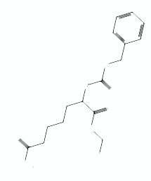 C=C(C)CCCCC(NC(=O)OCc1ccccc1)C(=O)OCC